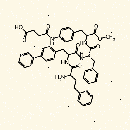 COC(=O)C(Cc1ccc(NC(=O)CCC(=O)O)cc1)NC(=O)C(Cc1ccccc1)NC(=O)C(Cc1ccc(-c2ccccc2)cc1)NC(=O)C(N)CCc1ccccc1